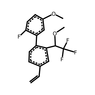 C=Cc1ccc(-c2cc(OC)ccc2F)c(C(OC)C(F)(F)F)c1